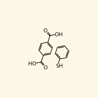 O=C(O)c1ccc(C(=O)O)cc1.Sc1ccccc1